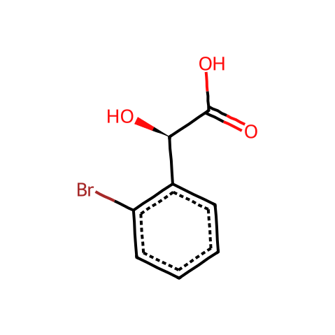 O=C(O)[C@H](O)c1ccccc1Br